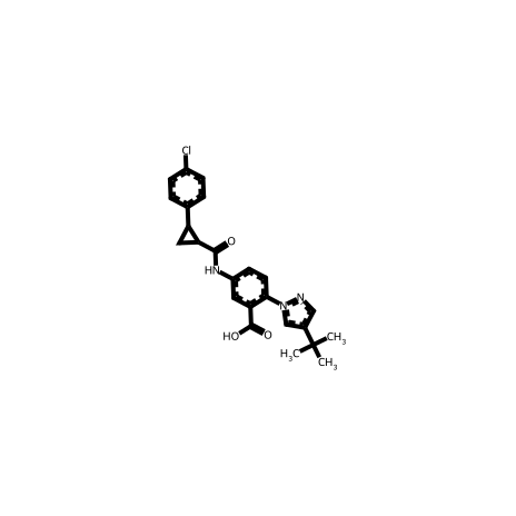 CC(C)(C)c1cnn(-c2ccc(NC(=O)C3CC3c3ccc(Cl)cc3)cc2C(=O)O)c1